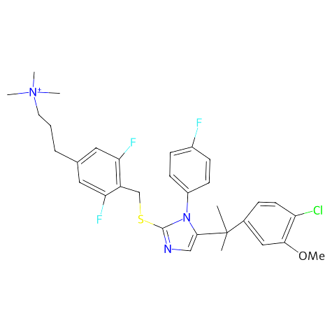 COc1cc(C(C)(C)c2cnc(SCc3c(F)cc(CCC[N+](C)(C)C)cc3F)n2-c2ccc(F)cc2)ccc1Cl